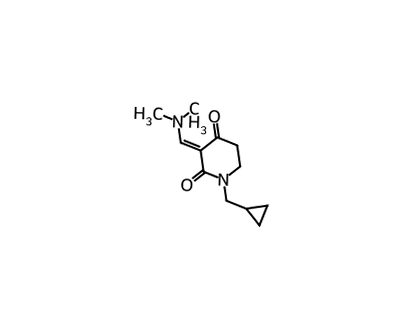 CN(C)C=C1C(=O)CCN(CC2CC2)C1=O